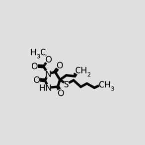 C=CCC1(SCCCCC)C(=O)NC(=O)N(C(=O)OC)C1=O